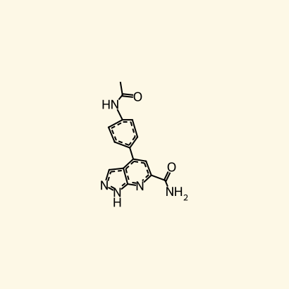 CC(=O)Nc1ccc(-c2cc(C(N)=O)nc3[nH]ncc23)cc1